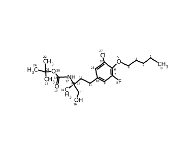 CCCCCOc1c(F)cc(CC[C@](C)(CO)NC(=O)OC(C)(C)C)cc1Cl